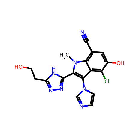 Cn1c(-c2nnc(CCO)[nH]2)c(-n2ccnc2)c2c(Cl)c(O)cc(C#N)c21